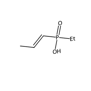 CC=CP(=O)(O)CC